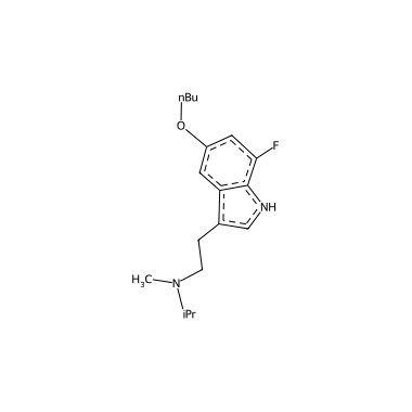 CCCCOc1cc(F)c2[nH]cc(CCN(C)C(C)C)c2c1